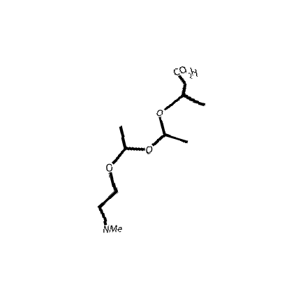 CNCCOC(C)OC(C)OC(C)C(=O)O